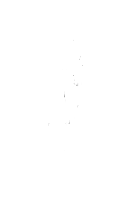 Cc1cc(O)ccc1NC(=O)c1cc(NC2CCCCCC2)ncn1